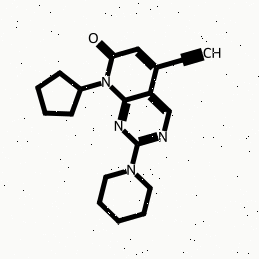 C#Cc1cc(=O)n(C2CCCC2)c2nc(N3CC[CH]CC3)ncc12